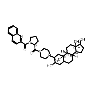 C[C@]12CC(N3CCN(C(=O)[C@@H]4CCCN4C(=O)c4ccc5ccccc5n4)CC3)C(O)CC1CC[C@@H]1[C@H]2CC[C@]2(C)C(O)CC[C@@H]12